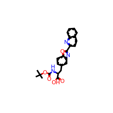 CC(C)(C)OC(=O)NC(Cc1ccc2oc(-c3ccc4ccccc4n3)nc2c1)C(=O)O